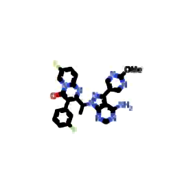 COc1ncc(-c2nn(C(C)c3nc4ccc(F)cn4c(=O)c3-c3cccc(F)c3)c3ncnc(N)c23)cn1